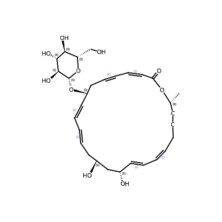 C[C@@H]1CCC/C=C\C=C\[C@H](O)C[C@@H](O)C/C=C\C=C\[C@@H](O[C@H]2O[C@@H](CO)[C@H](O)[C@@H](O)[C@@H]2O)C/C=C/C=C\C(=O)O1